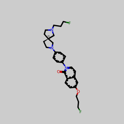 O=c1c2ccc(OCCCF)cc2ccn1-c1ccc(N2CC[C@]3(CCN(CCCF)C3)C2)cc1